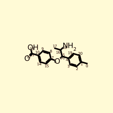 Cc1ccc([C@@H](Oc2ccc(C(=O)O)cc2)C(C)N)cc1